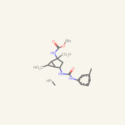 CCCC.Cc1cccc(NC(=O)NC2CC(NC(=O)OC(C)(C)C)(C(=O)O)C3C(C(=O)O)C23)c1